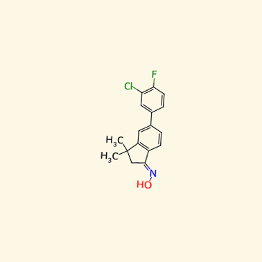 CC1(C)CC(=NO)c2ccc(-c3ccc(F)c(Cl)c3)cc21